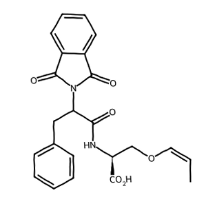 C/C=C\OC[C@H](NC(=O)C(Cc1ccccc1)N1C(=O)c2ccccc2C1=O)C(=O)O